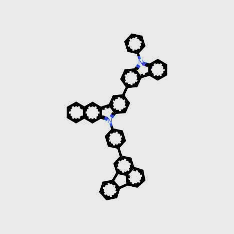 c1ccc(-n2c3ccccc3c3cc(-c4ccc5c(c4)c4cc6ccccc6cc4n5-c4ccc(-c5cc6c7c(cccc7c5)-c5ccccc5-6)cc4)ccc32)cc1